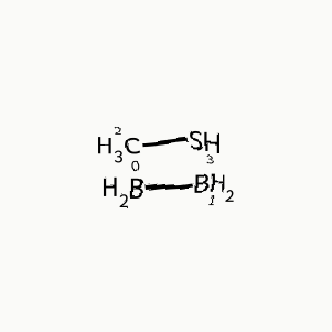 BB.CS